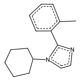 Cc1ccccc1-c1nccn1C1CCCCC1